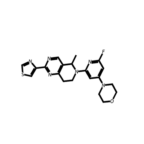 CC1c2cnc(-c3cscn3)nc2CCN1c1cc(N2CCOCC2)cc(F)n1